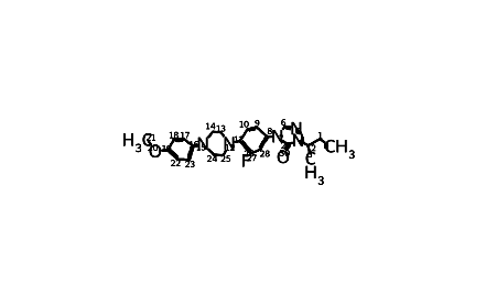 CCC(C)n1ncn(-c2ccc(N3CCN(c4ccc(OC)cc4)CC3)c(F)c2)c1=O